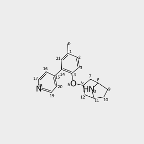 Cc1ccc(OC2CC3CCC(C2)N3)c(-c2ccncc2)c1